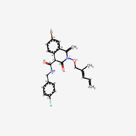 C=C/C=C(\C)CON1C(=C)c2cc(Br)ccc2C(C(=O)NCc2ccc(F)cc2)C1=O